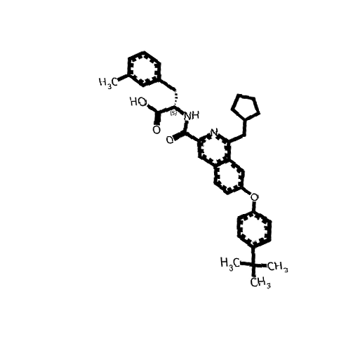 Cc1cccc(C[C@H](NC(=O)c2cc3ccc(Oc4ccc(C(C)(C)C)cc4)cc3c(CC3CCCC3)n2)C(=O)O)c1